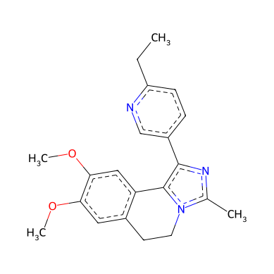 CCc1ccc(-c2nc(C)n3c2-c2cc(OC)c(OC)cc2CC3)cn1